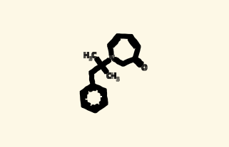 CC(C)(Cc1ccccc1)N1C=CC=CC(=O)C1